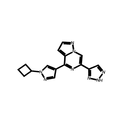 c1cc2c(-c3cnn(C4CCC4)c3)nc(-c3cn[nH]n3)cn2n1